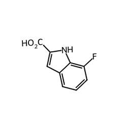 O=C(O)c1cc2cccc(F)c2[nH]1